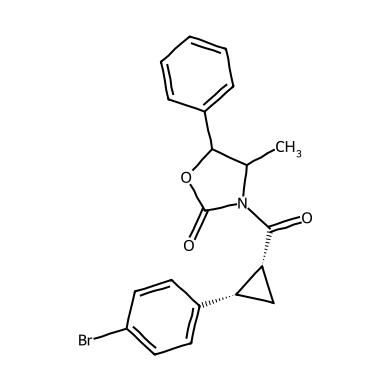 CC1C(c2ccccc2)OC(=O)N1C(=O)[C@@H]1C[C@@H]1c1ccc(Br)cc1